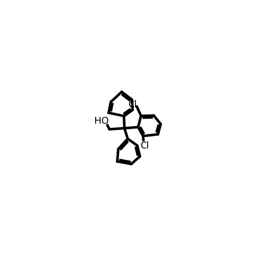 OCC(c1ccccc1)(c1ccccc1)c1c(Cl)cccc1Cl